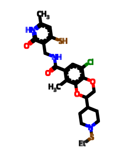 CCSN1CCC(C2COc3c(Cl)cc(C(=O)NCc4c(S)cc(C)[nH]c4=O)c(C)c3O2)CC1